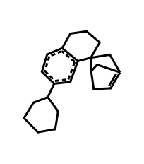 C1=C2CC(C1)C1(CCCc3ccc(C4CCCCC4)cc31)C2